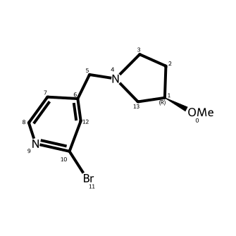 CO[C@@H]1CCN(Cc2ccnc(Br)c2)C1